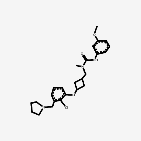 COc1cccc(NC(=O)N(C)CC2CC(Oc3cccc(CN4CCCC4)c3Cl)C2)c1